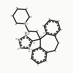 c1ccc2c(c1)CCc1ccccc1C2(CCN1CCCCC1)c1nnn[nH]1